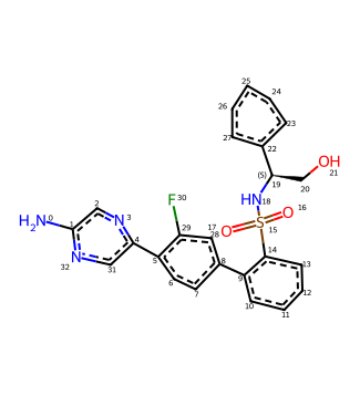 Nc1cnc(-c2ccc(-c3ccccc3S(=O)(=O)N[C@H](CO)c3ccccc3)cc2F)cn1